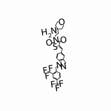 NC1(CCN2C(=O)S/C(=C\c3ccc4c(cnn4Cc4ccc(C(F)(F)F)cc4C(F)(F)F)c3)C2=O)CCOCC1